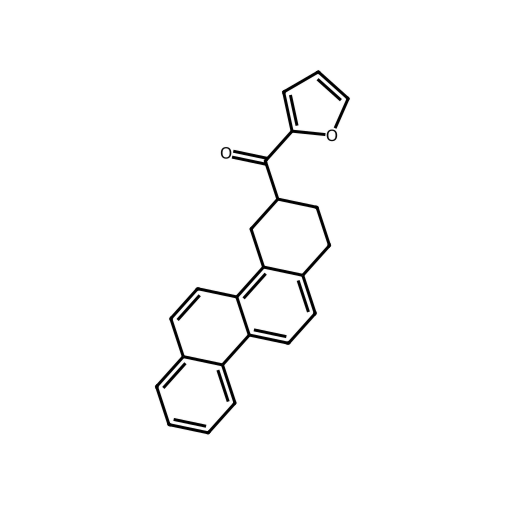 O=C(c1ccco1)C1CCc2ccc3c(ccc4ccccc43)c2C1